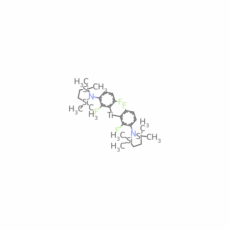 C[Si]1(C)CC[Si](C)(C)N1c1ccc(F)[c]([Ti][c]2c(F)ccc(N3[Si](C)(C)CC[Si]3(C)C)c2F)c1F